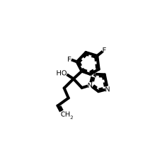 C=CCCC(O)(Cn1cncn1)c1ccc(F)cc1F